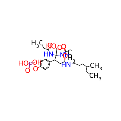 CCC(=O)NC(NC(C)=O)(C(=O)O)C(CC(=O)NCCCC(C)CC)c1ccc(OP(=O)(O)O)cc1